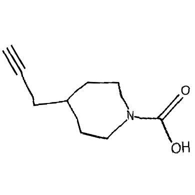 C#CCC1CCN(C(=O)O)CC1